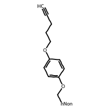 C#CCCCOc1ccc(OCCCCCCCCCC)cc1